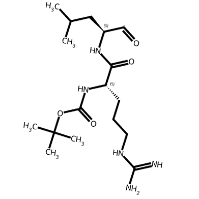 CC(C)C[C@@H]([C]=O)NC(=O)[C@H](CCCNC(=N)N)NC(=O)OC(C)(C)C